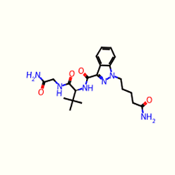 CC(C)(C)[C@H](NC(=O)c1nn(CCCCC(N)=O)c2ccccc12)C(=O)NCC(N)=O